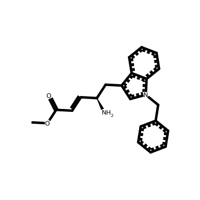 COC(=O)/C=C/[C@H](N)Cc1cn(Cc2ccccc2)c2ccccc12